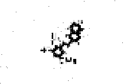 COc1cc(O)c(C)c(CCc2ccc3ccccc3c2)c1